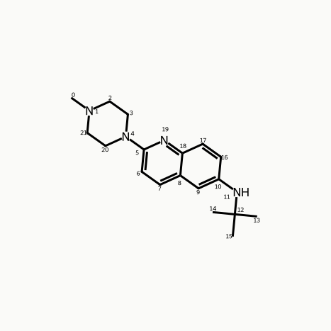 CN1CCN(c2ccc3cc(NC(C)(C)C)ccc3n2)CC1